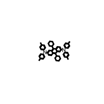 Cc1ccc(N(c2ccc(C)cc2)c2ccc3c(C4CCCCC4)c4cc(N(c5ccc(C)cc5)c5ccc(C)cc5)ccc4c(C4CCCCC4)c3c2)cc1